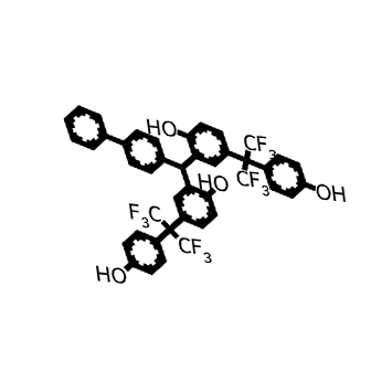 Oc1ccc(C(c2ccc(O)c(C(c3ccc(-c4ccccc4)cc3)c3cc(C(c4ccc(O)cc4)(C(F)(F)F)C(F)(F)F)ccc3O)c2)(C(F)(F)F)C(F)(F)F)cc1